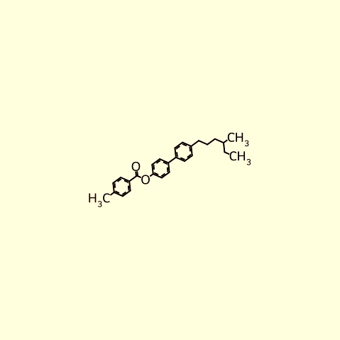 CCC(C)CCCc1ccc(-c2ccc(OC(=O)c3ccc(C)cc3)cc2)cc1